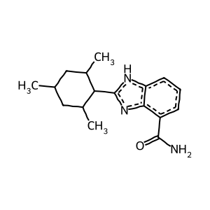 CC1CC(C)C(c2nc3c(C(N)=O)cccc3[nH]2)C(C)C1